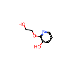 OCCOc1ncccc1O